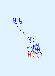 NCCCCCCCCCN1CCC(Cn2cnc(C(O)(c3ccccc3)C3CCCCC3)n2)CC1